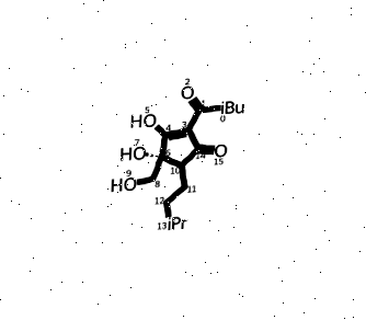 CCC(C)C(=O)C1=C(O)[C@](O)(CO)C(CCC(C)C)C1=O